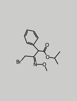 CO/N=C(/CBr)C(C(=O)OC(C)C)c1ccccc1